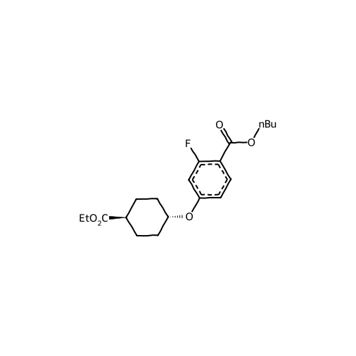 CCCCOC(=O)c1ccc(O[C@H]2CC[C@H](C(=O)OCC)CC2)cc1F